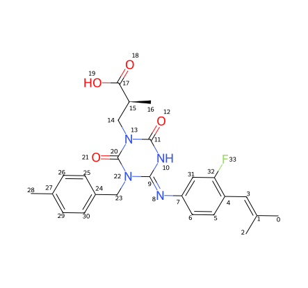 CC(C)=Cc1ccc(/N=c2\[nH]c(=O)n(C[C@H](C)C(=O)O)c(=O)n2Cc2ccc(C)cc2)cc1F